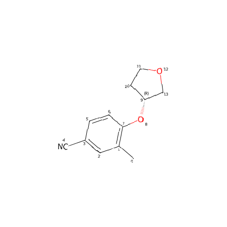 Cc1cc(C#N)ccc1O[C@@H]1CCOC1